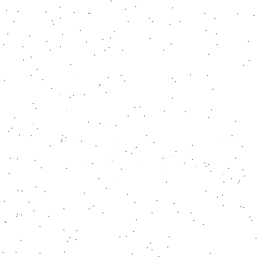 CCCC(Nc1ccc(N2CCC(O)(CC(=O)OC(C)(C)C)CC2)c(F)c1)C(=O)NC=O